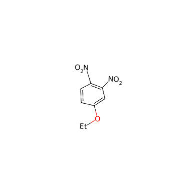 CCOc1ccc([N+](=O)[O-])c([N+](=O)[O-])c1